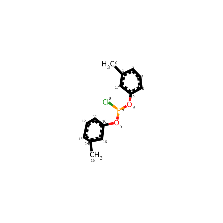 Cc1cccc(OP(Cl)Oc2cccc(C)c2)c1